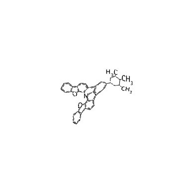 CC1CC(c2cc3c4ccc5c6ccccc6oc5c4n4c3c(c2)c2ccc3c5ccccc5oc3c24)CC(C)C1C